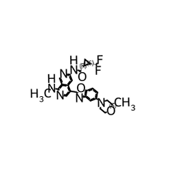 CNc1ncc(-c2nc3cc(N4CCO[C@@H](C)C4)ccc3o2)c2cc(NC(=O)[C@@H]3C[C@@H]3C(F)F)ncc12